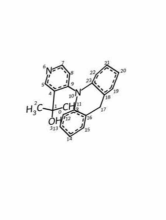 CC(C)(O)c1cnccc1N1c2ccccc2Cc2ccccc21